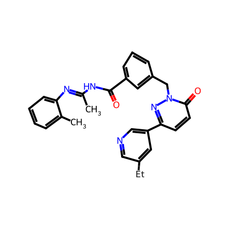 CCc1cncc(-c2ccc(=O)n(Cc3cccc(C(=O)N/C(C)=N/c4ccccc4C)c3)n2)c1